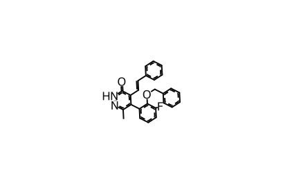 Cc1n[nH]c(=O)c(C=Cc2ccccc2)c1-c1cccc(F)c1OCc1ccccc1